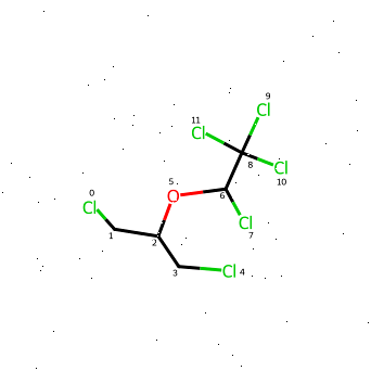 ClCC(CCl)OC(Cl)C(Cl)(Cl)Cl